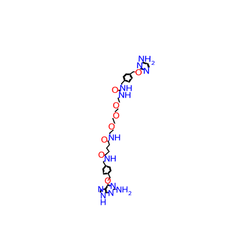 Nc1ccnc(OCc2ccc(CNC(=O)NCCOCCOCCOCCNC(=O)CCCC(=O)NCc3ccc(COc4nc(N)nc5[nH]cnc45)cc3)cc2)n1